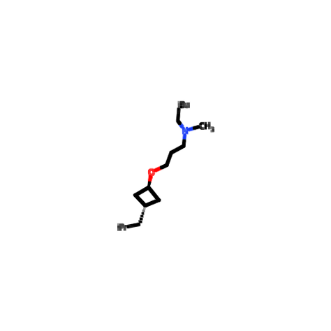 CCC(C)CN(C)CCCO[C@H]1C[C@H](CC(C)C)C1